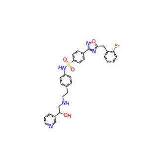 O=S(=O)(Nc1ccc(CCNCC(O)c2cccnc2)cc1)c1ccc(-c2noc(Cc3ccccc3Br)n2)cc1